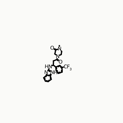 CN1CCN(C(=O)CC(Nc2nc3ccccc3[nH]2)c2cccc(C(F)(F)F)c2)CC1=O